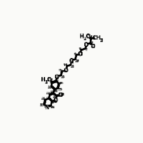 C=C(C)C(=O)OCCOCCOCCOCCOc1ccc(-c2cc3ccncc3oc2=O)cc1C